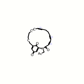 CC(=O)CN1C(=O)/C=C\C=C/C[CH]/C=C\CCCCCCC2=CC(=O)C=C1C2=O